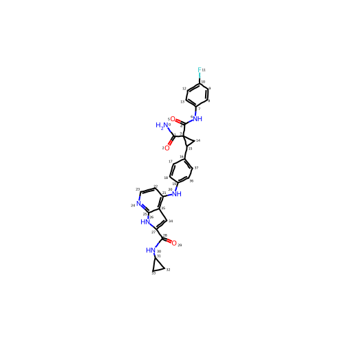 NC(=O)C1(C(=O)Nc2ccc(F)cc2)CC1c1ccc(Nc2ccnc3[nH]c(C(=O)NC4CC4)cc23)cc1